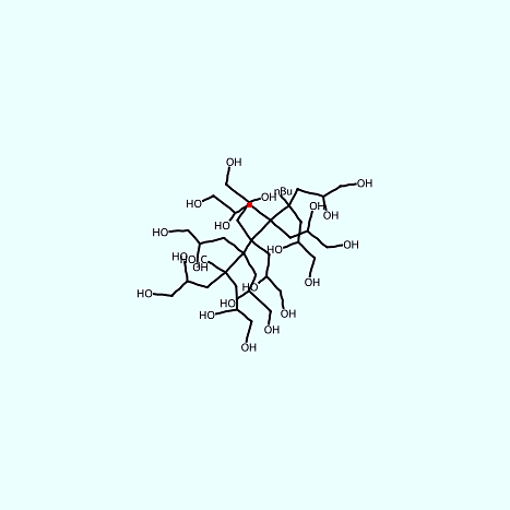 CCCCC(CC(O)CO)(CC(O)CO)C(CC(O)CO)(CC(O)CO)C(CC(O)CO)(CC(O)CO)C(CC(O)CO)(CC(O)CO)C(CC(O)CO)(CC(O)CO)C(=O)O